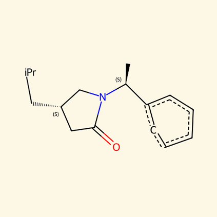 CC(C)C[C@H]1CC(=O)N([C@@H](C)c2ccccc2)C1